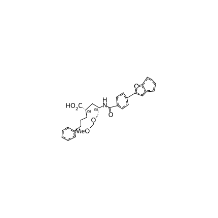 COCOC[C@H](C[C@H](CCCc1ccccc1)C(=O)O)NC(=O)c1ccc(-c2cc3ccccc3o2)cc1